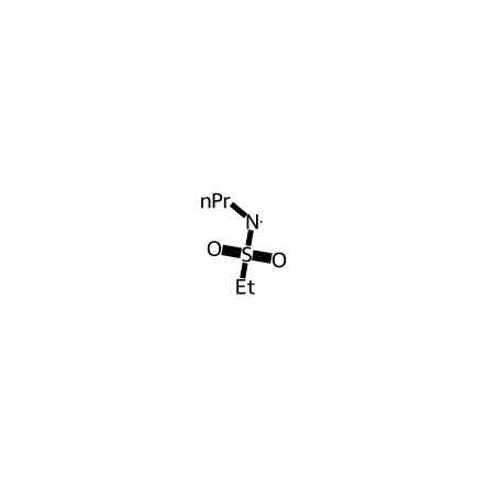 CCC[N]S(=O)(=O)CC